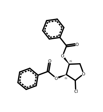 O=C(O[C@H]1COC(Cl)[C@H]1OC(=O)c1ccccc1)c1ccccc1